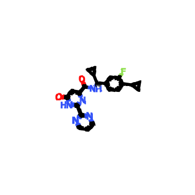 O=C(N[C@@H](c1ccc(C2CC2)c(F)c1)C1CC1)c1cc(=O)[nH]c(-c2ncccn2)n1